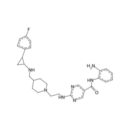 Nc1ccccc1NC(=O)c1cnc(NCCN2CCC(CNC3CC3c3ccc(F)cc3)CC2)nc1